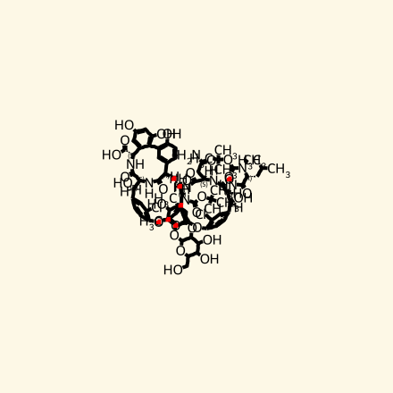 CC(C)C[C@H](C(=O)N[C@H]1C(=O)N[C@@H](CC(N)=O)C(=O)N[C@H]2C(=O)N[C@H]3C(=O)N[C@H](C(=O)N[C@H](C(=O)O)c4cc(O)cc(O)c4-c4cc3ccc4O)[C@H](O)c3ccc(c(Cl)c3)Oc3cc2cc(c3OC2OC(CO)C(O)C(O)C2OC2CC(C)(NC(=O)OC(C)(C)C)C(O)C(C)O2)Oc2ccc(cc2Cl)[C@H]1O)N(C)C(=O)OC(C)(C)C